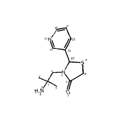 CC(C)(N)CN1C(=O)CSC1c1cccnc1